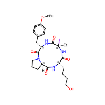 CCCCOc1ccc(C[C@@H]2NC(=O)[C@](I)(CC)NC(=O)[C@H](CCCCO)NC(=O)[C@H]3CCCN3C2=O)cc1